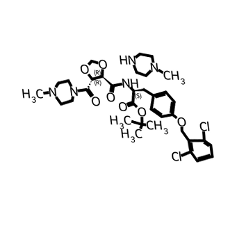 CN1CCN(C(=O)[C@@H]2OCO[C@H]2C(=O)N[C@@H](Cc2ccc(OCc3c(Cl)cccc3Cl)cc2)C(=O)OC(C)(C)C)CC1.CN1CCNCC1